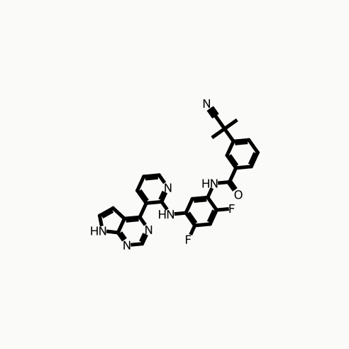 CC(C)(C#N)c1cccc(C(=O)Nc2cc(Nc3ncccc3-c3ncnc4[nH]ccc34)c(F)cc2F)c1